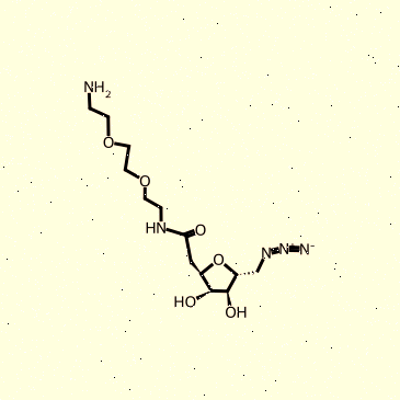 [N-]=[N+]=NC[C@H]1O[C@H](CC(=O)NCCOCCOCCN)[C@H](O)[C@@H]1O